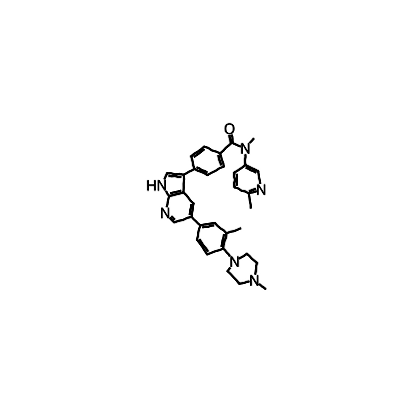 Cc1ccc(N(C)C(=O)c2ccc(-c3c[nH]c4ncc(-c5ccc(N6CCN(C)CC6)c(C)c5)cc34)cc2)cn1